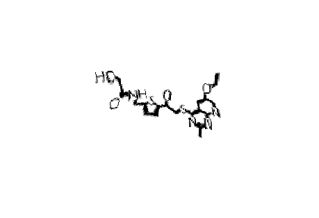 CCOc1cnc2nc(C)nc(SCC(=O)c3ccc(CNC(=O)CO)s3)c2c1